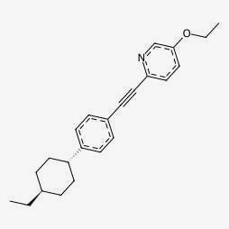 CCOc1ccc(C#Cc2ccc([C@H]3CC[C@H](CC)CC3)cc2)nc1